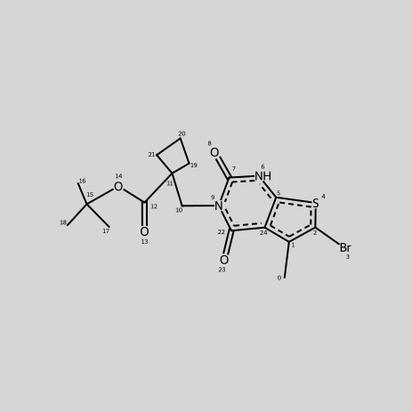 Cc1c(Br)sc2[nH]c(=O)n(CC3(C(=O)OC(C)(C)C)CCC3)c(=O)c12